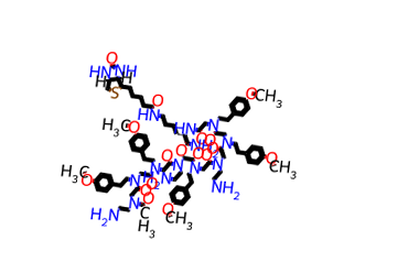 COc1ccc(CCN(CC(=O)N[C@@H](CCCCNC(=O)CCCCC2SC[C@@H]3NC(=O)N[C@H]23)C(N)=O)C(=O)CN(CCc2ccc(OC)cc2)C(=O)CN(CCN)C(=O)CN(CCc2ccc(OC)cc2)C(=O)CN(CCN)C(=O)CN(CCc2ccc(OC)cc2)C(=O)CN(CCc2ccc(OC)cc2)C(=O)CN(CCN)C(C)=O)cc1